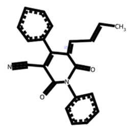 CC=C/C=C1\C(=O)N(c2ccccc2)C(=O)C(C#N)=C1c1ccccc1